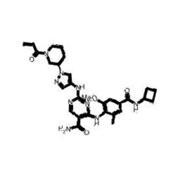 C=CC(=O)N1CCC[C@@H](n2cc(Nc3ncc(C(N)=O)c(Nc4c(C)cc(C(=O)NC5CCC5)cc4OC)n3)cn2)C1